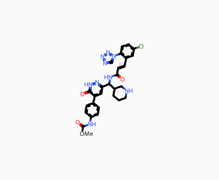 COC(=O)Nc1ccc(-c2cc(C(NC(=O)/C=C/c3cc(Cl)ccc3-n3cnnn3)C3CCCNC3)n[nH]c2=O)cc1